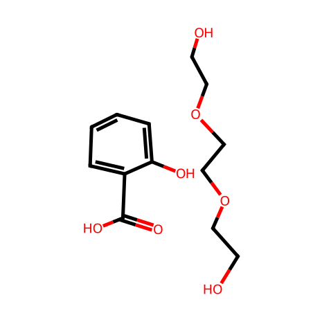 O=C(O)c1ccccc1O.OCCOCCOCCO